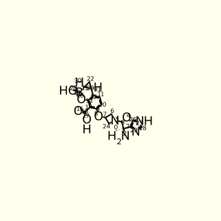 C[C@](N)(C(=O)N1CC(Oc2ccc3c(c2C(=O)O)OB(O)[C@H]2C[C@@H]32)C1)c1c[nH]cn1